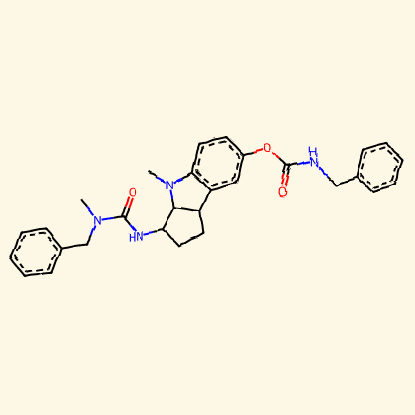 CN(Cc1ccccc1)C(=O)NC1CCC2c3cc(OC(=O)NCc4ccccc4)ccc3N(C)C12